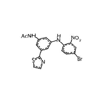 CC(=O)Nc1cc(Nc2ccc(Br)cc2[N+](=O)[O-])cc(-c2nccs2)c1